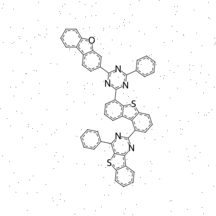 c1ccc(-c2nc(-c3ccc4c(c3)oc3ccccc34)nc(-c3cccc4c3sc3cccc(-c5nc(-c6ccccc6)c6sc7ccccc7c6n5)c34)n2)cc1